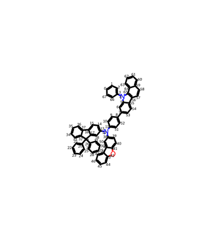 c1ccc(-n2c3cc(-c4ccc(N(c5ccc6c(c5)C(c5ccccc5)(c5ccccc5)c5ccccc5-6)c5ccc6oc7ccccc7c6c5)cc4)ccc3c3ccc4ccccc4c32)cc1